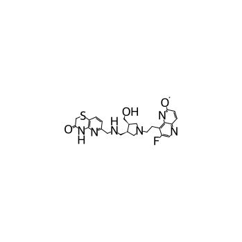 COc1ccc2ncc(F)c(CCN3C[C@@H](CNCc4ccc5c(n4)NC(=O)CS5)[C@@H](CO)C3)c2n1